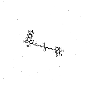 Nc1ccn([C@@H]2O[C@H](COCCCNC(=O)CCCC[C@@H]3SC[C@@H]4NC(=O)N[C@@H]43)[C@@H](O)[C@H]2O)c(=O)n1